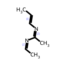 C\C=N/C(C)=N\C=C\C